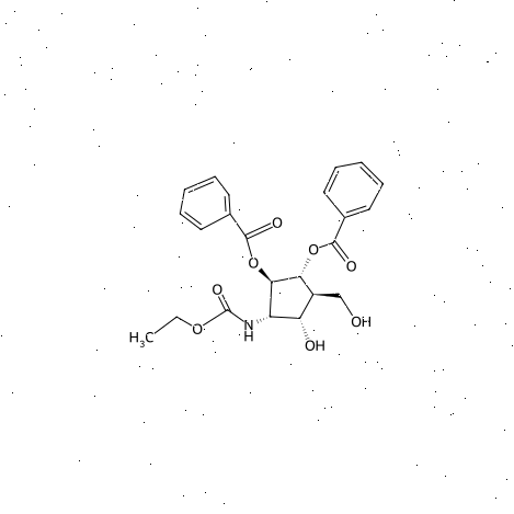 CCOC(=O)N[C@H]1[C@@H](O)[C@H](CO)[C@@H](OC(=O)c2ccccc2)[C@@H]1OC(=O)c1ccccc1